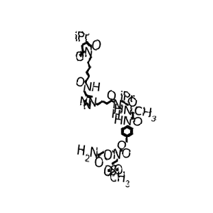 CC(C)C1CC(=O)N(CCCCCC(=O)NCc2cn(CCCC(=O)N[C@H](C(=O)N[C@@H](C)C(=O)Nc3ccc(COC(=O)N(CCS(C)(=O)=O)COCC(N)=O)cc3)C(C)C)nn2)C1=O